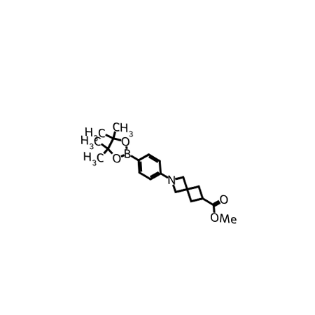 COC(=O)C1CC2(C1)CN(c1ccc(B3OC(C)(C)C(C)(C)O3)cc1)C2